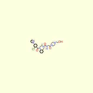 C[C@@H]1CN(C(=O)c2ccc(-n3cccn3)cc2Cl)c2ccccc2CN1C(=O)NCC(=O)N1CCN(CCO)CC1